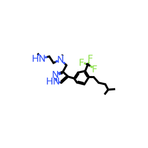 CNCCN(C)Cc1n[nH]cc1-c1ccc(CCCC(C)C)c(C(F)(F)F)c1